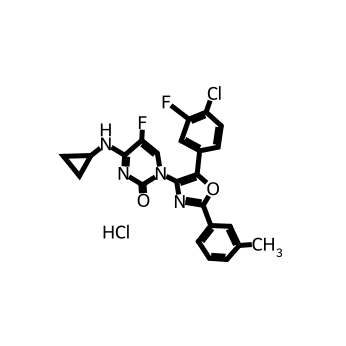 Cc1cccc(-c2nc(-n3cc(F)c(NC4CC4)nc3=O)c(-c3ccc(Cl)c(F)c3)o2)c1.Cl